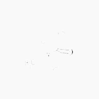 C[N+](S)(S)C(=O)O